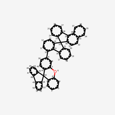 c1ccc2c(c1)Oc1cc(-c3cccc4c3-c3ccccc3C43c4ccccc4-c4c3ccc3ccccc43)ccc1C21c2ccccc2-c2ccccc21